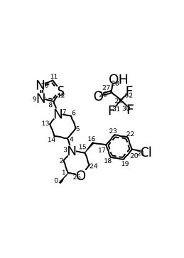 C[C@H]1CN(C2CCN(c3nncs3)CC2)[C@@H](Cc2ccc(Cl)cc2)CO1.O=C(O)C(F)(F)F